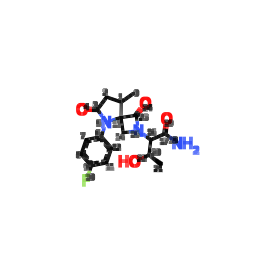 CC1CC(=O)N(c2ccc(F)cc2)C12CN(C(C(N)=O)[C@@H](C)O)C2=O